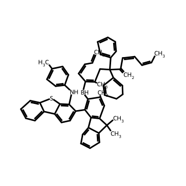 C=C/C=C\C(Bc1c(C)cc2c(c1-c1ccc3c(sc4ccccc43)c1Nc1ccc(C)cc1)-c1ccccc1C2(C)C)=C(\C)CC(C(=C)/C=C\C=C/C)(C1=CCCC=C1)c1ccccc1